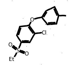 CCS(=O)(=O)c1ccc(Oc2[c]cc(C)cc2)c(Cl)c1